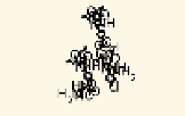 CCCn1c(=O)c2[nH]c(-c3ccc(Cl)cc3N)nc2n(CCC)c1=O.CCCn1c(=O)c2[nH]c(-c3ccc(OC(NCCN)C(=O)O)cc3)nc2n(CCC)c1=O.CCCn1c(=O)c2[nH]c(-c3ccc(S(=O)(=O)O)cc3)nc2n(CCC)c1=O